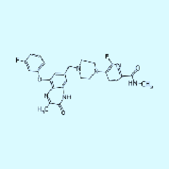 CNC(=O)c1ccc(N2CCN(Cc3cc(Oc4cccc(F)c4)c4nc(C)c(=O)[nH]c4c3)CC2)c(F)n1